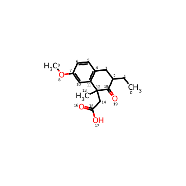 CCC1Cc2ccc(OC)cc2C(C)(CC(=O)O)C1=O